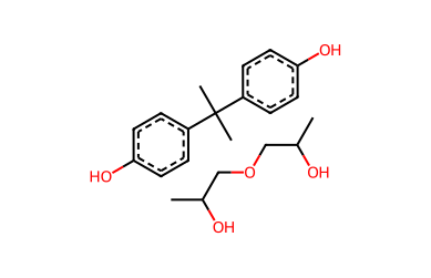 CC(C)(c1ccc(O)cc1)c1ccc(O)cc1.CC(O)COCC(C)O